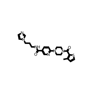 Cc1ccsc1C(=O)N1CCN(c2ccc(C(=O)NCCCn3ccnc3)cn2)CC1